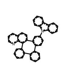 c1ccc2c(c1)-c1ccc(-n3c4ccccc4c4ccccc43)cc1-c1ccc3cccnc3c1-c1ccccc1-2